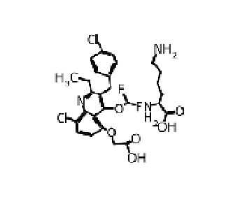 CCc1nc2c(Cl)ccc(OCC(=O)O)c2c(OC(F)F)c1Cc1ccc(Cl)cc1.NCCCC[C@H](N)C(=O)O